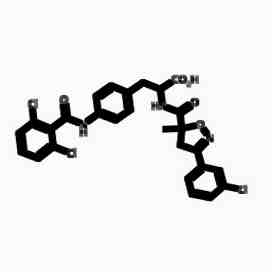 CC1(C(=O)NC(Cc2ccc(NC(=O)c3c(Cl)cccc3Cl)cc2)C(=O)O)CC(c2cccc(Cl)c2)=NO1